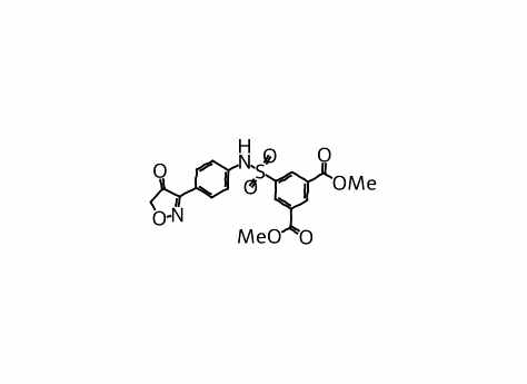 COC(=O)c1cc(C(=O)OC)cc(S(=O)(=O)Nc2ccc(C3=NOCC3=O)cc2)c1